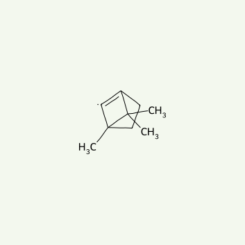 CC12[C]=C(CC1)C2(C)C